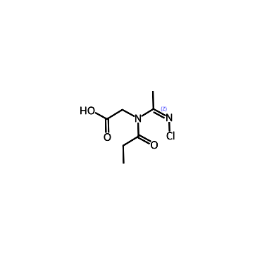 CCC(=O)N(CC(=O)O)/C(C)=N\Cl